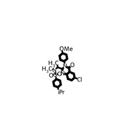 COc1ccc(-n2c(C(C)N(C)S(=O)(=O)c3ccc(C(C)C)cc3)nc3ccc(Cl)cc3c2=O)cc1